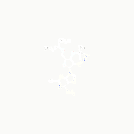 CCOC(=O)C(OC[C@H]1O[C@@H](n2cnc3c(N)nc(Cl)nc32)C(N=[N+]=[N-])C1O[Si](C)(C)C(C)(C)C)C(=O)OCC